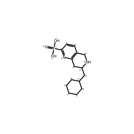 O=P(O)(O)c1ccc2c(n1)CC(CC1CCCCC1)NC2